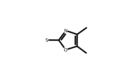 Cc1nc([S])oc1C